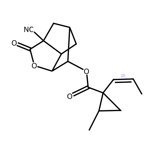 C/C=C\C1(C(=O)OC2C3CC4C2OC(=O)C4(C#N)C3)CC1C